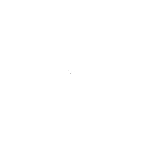 CCC[CH2][Nd][CH2]CCC